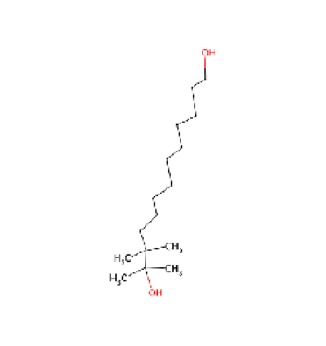 CC(C)(O)C(C)(C)CCCCCCCCCCO